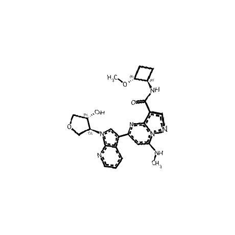 CNc1cc(-c2cn([C@H]3COC[C@@H]3O)c3ncccc23)nc2c(C(=O)N[C@@H]3CC[C@H]3OC)cnn12